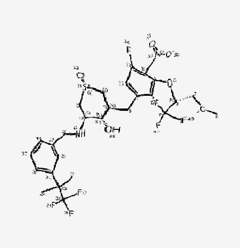 COC[C@@H](Oc1cc(C[C@@H]2C[S@@+]([O-])C[C@H](NCc3cccc(C(C)(C)C(F)(F)F)c3)[C@H]2O)cc(F)c1[N+](=O)[O-])C(F)(F)F